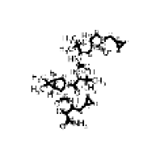 CC(C)(C)[C@H](NC(=O)N[C@H](CN1CCN(CC2CC2)[S+]1[O-])C(C)(C)C)C(=O)N1C[C@H]2[C@@H]([C@H]1C(=O)NC(CC1CC1)C(=O)C(N)=O)C2(C)C